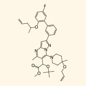 C=CCOC1(C)CCN(c2c(C(OC(C)(C)C)C(=O)OC)c(C)nc3cc(-c4cccc(-c5cc(F)ccc5OC(C)CC=C)c4)nn23)CC1